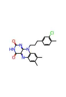 Cc1cc2nc3c(=O)[nH]c(=O)nc-3n(CCCc3ccc(C)c(Cl)c3)c2cc1C